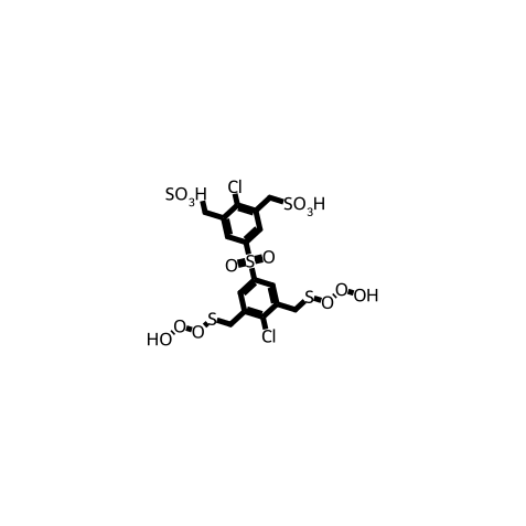 O=S(=O)(O)Cc1cc(S(=O)(=O)c2cc(CSOOO)c(Cl)c(CSOOO)c2)cc(CS(=O)(=O)O)c1Cl